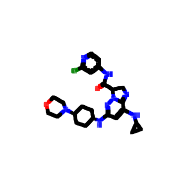 O=C(Nc1ccnc(Cl)c1)C1CN=C2C(NC3CC3)=CC(N[C@H]3CC[C@H](N4CCOCC4)CC3)=NN21